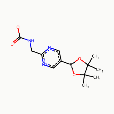 CC1(C)OB(c2cnc(CNC(=O)O)nc2)OC1(C)C